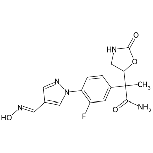 CC(C(N)=O)(c1ccc(-n2cc(C=NO)cn2)c(F)c1)C1CNC(=O)O1